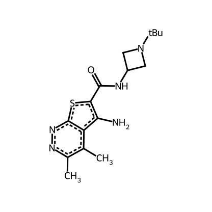 Cc1nnc2sc(C(=O)NC3CN(C(C)(C)C)C3)c(N)c2c1C